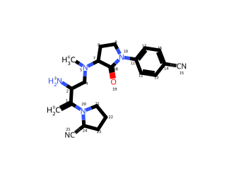 C=C(C(N)CN(C)C1CCN(c2ccc(C#N)cc2)C1=O)N1CCCC1C#N